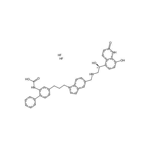 F.F.O=C(O)Nc1cc(CCCn2ccc3cc(CNC[C@@H](O)c4ccc(O)c5[nH]c(=O)ccc45)ccc32)ccc1-c1ccccc1